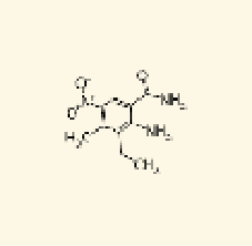 CCc1c(C)c([N+](=O)[O-])cc(C(N)=O)c1N